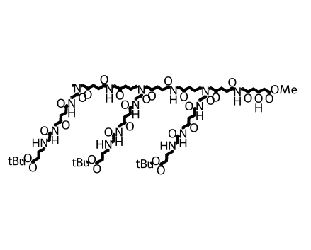 COC(=O)CC(O)CC(=O)CNC(=O)CCC(=O)CN(CCCC(=O)CNC(=O)CCC(=O)CN(CCCC(=O)CNC(=O)CCC(=O)CN(C)C(=O)CNC(=O)CCC(=O)CNC(=O)CNCCCC(=O)OC(C)(C)C)C(=O)CNC(=O)CCC(=O)CNC(=O)CNCCCC(=O)OC(C)(C)C)C(=O)CNC(=O)CCC(=O)CNC(=O)CNCCCC(=O)OC(C)(C)C